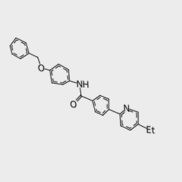 CCc1ccc(-c2ccc(C(=O)Nc3ccc(OCc4ccccc4)cc3)cc2)nc1